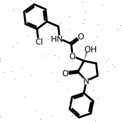 O=C(NCc1ccccc1Cl)O[C@@]1(O)CCN(c2ccccc2)C1=O